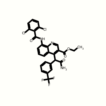 CCOC(=O)c1cnc2c(NC(=O)c3c(Cl)cccc3Cl)cccc2c1C(C(N)=O)c1cccc(C(F)(F)F)c1